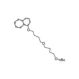 CCCCOCCCCOCCCCOc1cccc2ccccc12